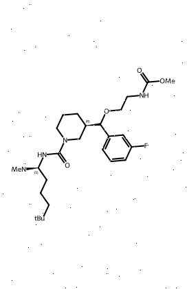 CN[C@H](CCCC(C)(C)C)NC(=O)N1CCC[C@@H](C(OCCNC(=O)OC)c2cccc(F)c2)C1